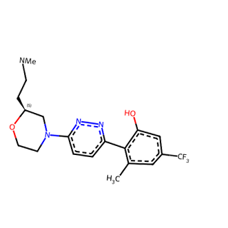 CNCC[C@H]1CN(c2ccc(-c3c(C)cc(C(F)(F)F)cc3O)nn2)CCO1